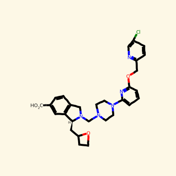 O=C(O)c1ccc2c(c1)[C@H](CC1CCO1)N(CN1CCN(c3cccc(OCc4ccc(Cl)cn4)n3)CC1)C2